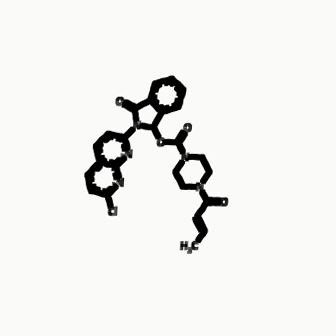 CC=CC(=O)N1CCN(C(=O)OC2c3ccccc3C(=O)N2c2ccc3ccc(Cl)nc3n2)CC1